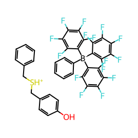 Fc1c(F)c(F)c([B-](c2ccccc2)(c2c(F)c(F)c(F)c(F)c2F)c2c(F)c(F)c(F)c(F)c2F)c(F)c1F.Oc1ccc(C[SH+]Cc2ccccc2)cc1